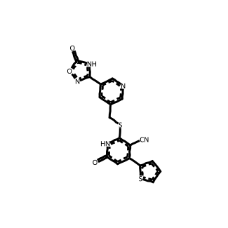 N#Cc1c(-c2cccs2)cc(=O)[nH]c1SCc1cncc(-c2noc(=O)[nH]2)c1